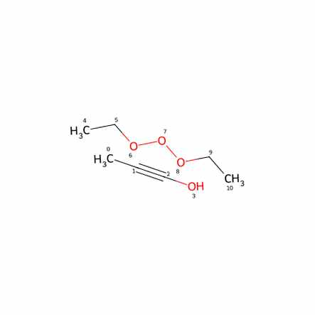 CC#CO.CCOOOCC